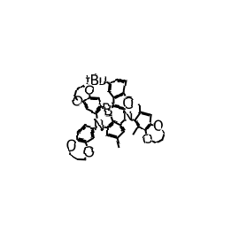 Cc1cc2c3c(c1)N(c1c(C)cc4c(c1C)OCCCO4)c1oc4ccc(C(C)(C)C)cc4c1B3c1cc3c(cc1N2c1ccc2c(c1)OCCCO2)OCCCO3